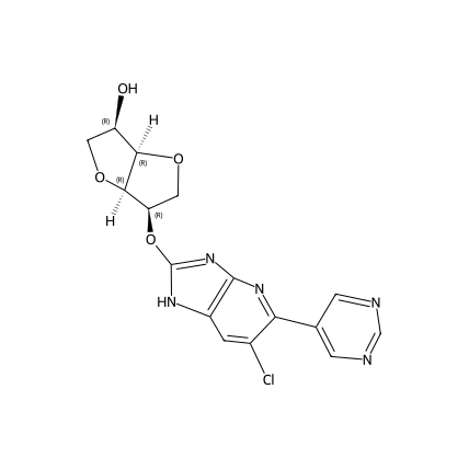 O[C@@H]1CO[C@H]2[C@@H]1OC[C@H]2Oc1nc2nc(-c3cncnc3)c(Cl)cc2[nH]1